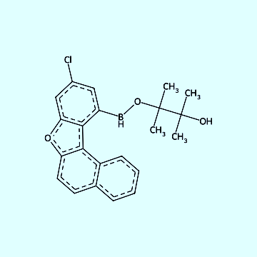 CC(C)(O)C(C)(C)OBc1cc(Cl)cc2oc3ccc4ccccc4c3c12